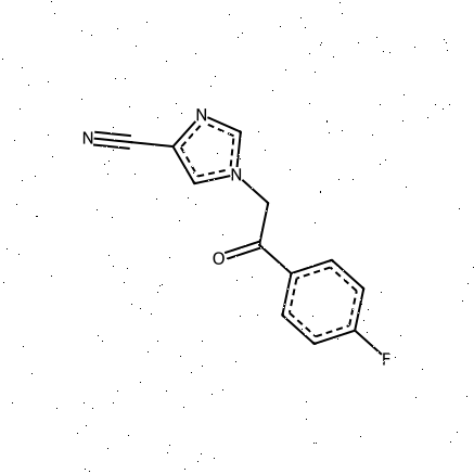 N#Cc1cn(CC(=O)c2ccc(F)cc2)cn1